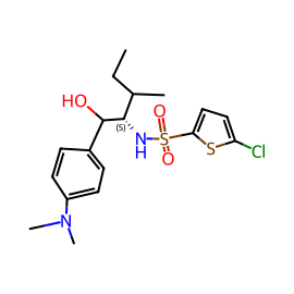 CCC(C)[C@H](NS(=O)(=O)c1ccc(Cl)s1)C(O)c1ccc(N(C)C)cc1